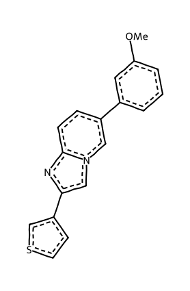 COc1cccc(-c2ccc3nc(-c4ccsc4)cn3c2)c1